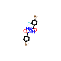 O=C(NNC(=O)c1ccc(Br)cc1F)c1ccc(Br)cc1